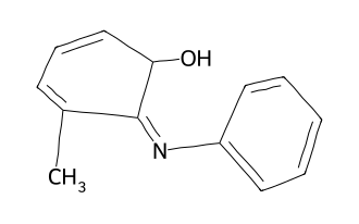 CC1=CC=CC(O)C1=Nc1ccccc1